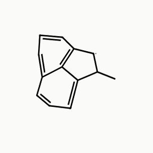 CC1[CH]c2cccc3cccc1c23